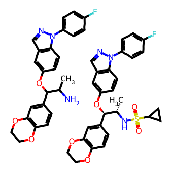 CC(N)C(Oc1ccc2c(cnn2-c2ccc(F)cc2)c1)c1ccc2c(c1)OCCO2.C[C@H](NS(=O)(=O)C1CC1)[C@H](Oc1ccc2c(cnn2-c2ccc(F)cc2)c1)c1ccc2c(c1)OCCO2